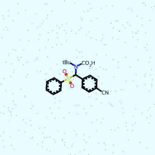 CC(C)(C)N(C(=O)O)C(c1ccc(C#N)cc1)S(=O)(=O)c1ccccc1